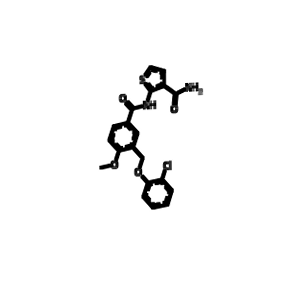 COc1ccc(C(=O)Nc2sccc2C(N)=O)cc1COc1ccccc1Cl